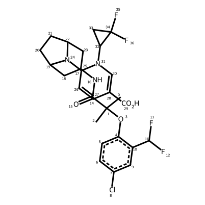 CC(C)(Oc1ccc(Cl)cc1C(F)F)C(=O)NC1CC2CCC(C1)N2C1C=CC(C(=O)O)=CN1C1CC1(F)F